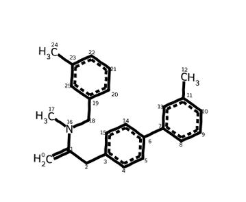 C=C(Cc1ccc(-c2cccc(C)c2)cc1)N(C)Cc1cccc(C)c1